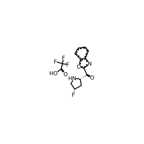 O=C(O)C(F)(F)F.O=C(c1nc2ccccc2o1)[C@@H]1C[C@H](F)CN1